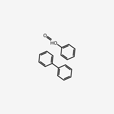 C=O.Oc1ccccc1.c1ccc(-c2ccccc2)cc1